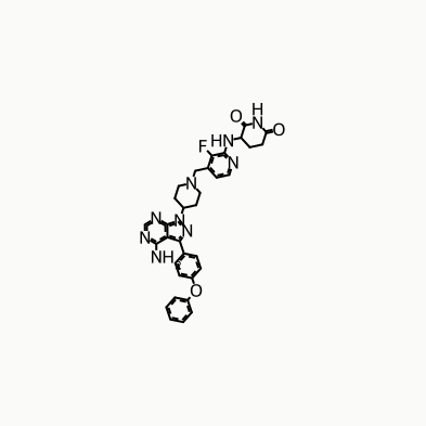 Nc1ncnc2c1c(-c1ccc(Oc3ccccc3)cc1)nn2C1CCN(Cc2ccnc(NC3CCC(=O)NC3=O)c2F)CC1